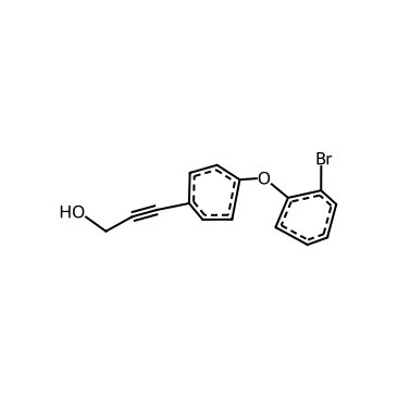 OCC#Cc1ccc(Oc2ccccc2Br)cc1